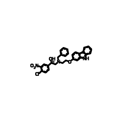 O=[N+]([O-])c1cc([C@@H](O)CN(CCOc2ccc3c(c2)[nH]c2ccccc23)Cc2ccccc2)ccc1Cl